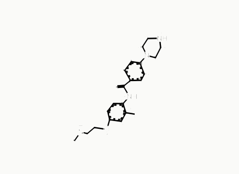 CNCCOc1ccc(NC(=O)c2ccc(N3CCNCC3)cc2)c(C)c1